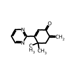 C=C1CC(C)(C)C(c2ncccn2)=CC1=O